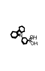 OB(O)C1=CC=CC(n2c3c(c4c2CCCC4)CCC=C3)C1